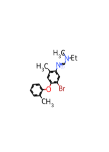 CCN(C)/C=N/c1cc(Br)c(Oc2ccccc2C)cc1C